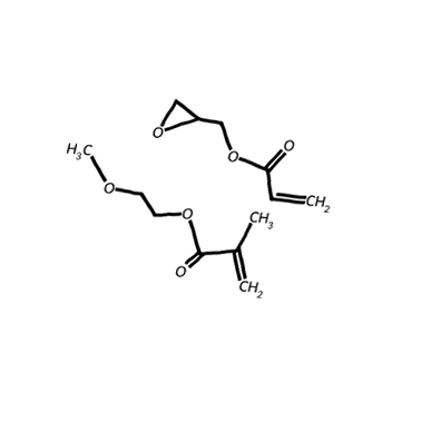 C=C(C)C(=O)OCCOC.C=CC(=O)OCC1CO1